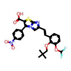 CC(C)(C)COc1c(C=Cc2cn3c(-c4ccc([N+](=O)[O-])cc4)c(C(=O)O)sc3n2)cccc1OC(F)F